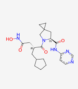 O=C(C[C@@H](CC1CCCC1)C(=O)N1CC2(CC2)C[C@H]1C(=O)Nc1ccncn1)NO